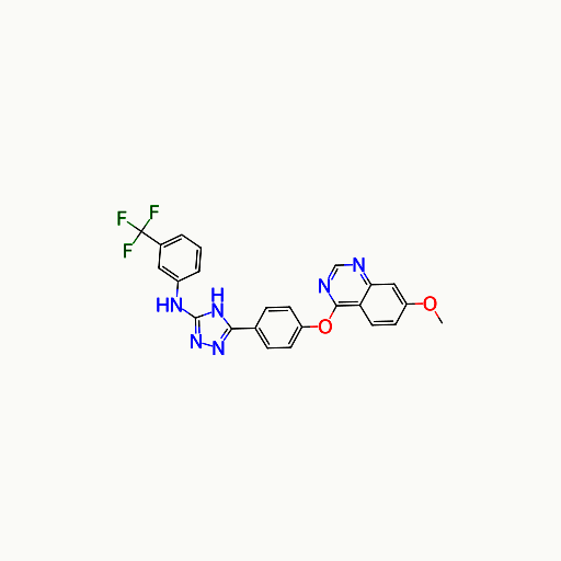 COc1ccc2c(Oc3ccc(-c4nnc(Nc5cccc(C(F)(F)F)c5)[nH]4)cc3)ncnc2c1